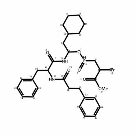 COC(=O)C(C[PH](=O)OC(CC1CCCCC1)NC(=O)C(Cc1ccccc1)NC(=O)CCc1ccccc1)C(C)C